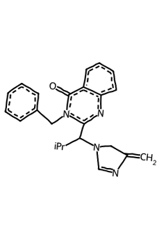 C=C1CN(C(c2nc3ccccc3c(=O)n2Cc2ccccc2)C(C)C)C=N1